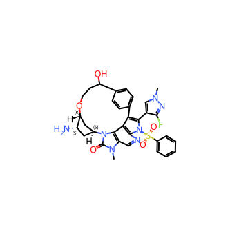 Cn1cc(-c2c3c4c(ncc5c4n(c(=O)n5C)[C@H]4C[C@H](N)[C@@H](C4)OCCC(O)c4ccc-3cc4)n2S(=O)(=O)c2ccccc2)c(F)n1